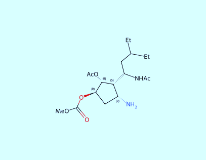 CCC(CC)CC(NC(C)=O)[C@H]1[C@@H](OC(C)=O)[C@H](OC(=O)OC)C[C@H]1N